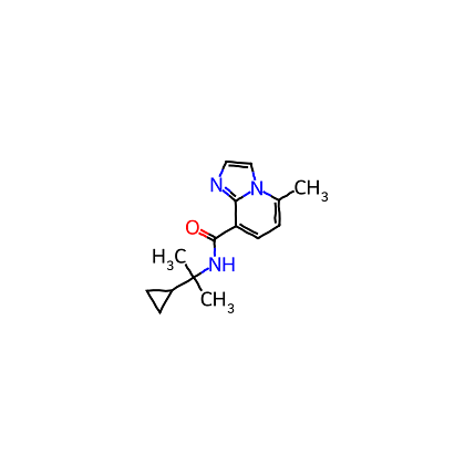 Cc1ccc(C(=O)NC(C)(C)C2CC2)c2nccn12